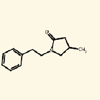 CC1CC(=O)N(CCc2ccccc2)C1